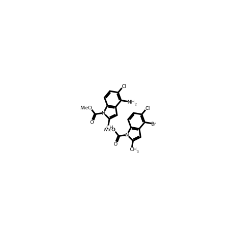 COC(=O)n1c(C)cc2c(Br)c(Cl)ccc21.COC(=O)n1c(C)cc2c(N)c(Cl)ccc21